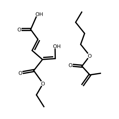 C=C(C)C(=O)OCCCC.CCOC(=O)C(C=CC(=O)O)=CO